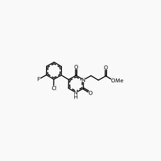 COC(=O)CCn1c(=O)[nH]cc(-c2cccc(F)c2Cl)c1=O